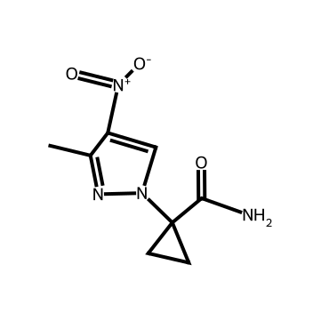 Cc1nn(C2(C(N)=O)CC2)cc1[N+](=O)[O-]